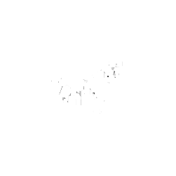 CCS(=O)(=O)N1CCC(N(C(=O)Nc2ncc(Cl)s2)C2CCCC2)CC1